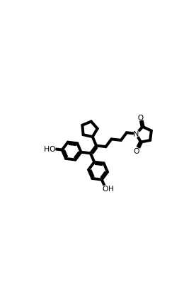 O=C1CCC(=O)N1CCCCC(=C(c1ccc(O)cc1)c1ccc(O)cc1)C1CCCC1